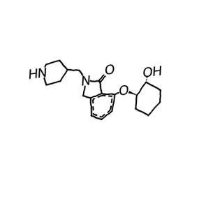 O=C1c2c(cccc2O[C@@H]2CCCC[C@H]2O)CN1CC1CCNCC1